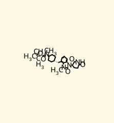 Cn1c(=O)n(C2CCC(=O)NC2=O)c2cccc(C[C@H]3CC[C@H](N(C)C(=O)OC(C)(C)C)CC3)c21